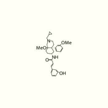 COc1cccc([C@@]23CCN(CC4CC4)C[C@@]2(OC)CC[C@@H](NC(=O)C=Cc2cccc(O)c2)C3)c1